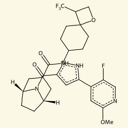 COc1cc(-c2cc(C(=O)N3[C@@H]4CC[C@H]3CC(C(=O)NC3CCC5(CC3)OCC5C(F)(F)F)C4)n[nH]2)c(F)cn1